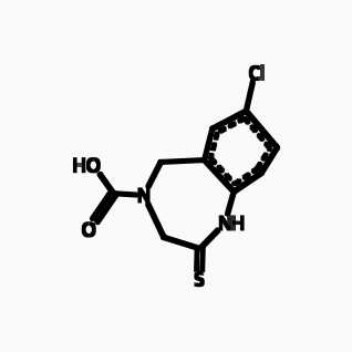 O=C(O)N1CC(=S)Nc2ccc(Cl)cc2C1